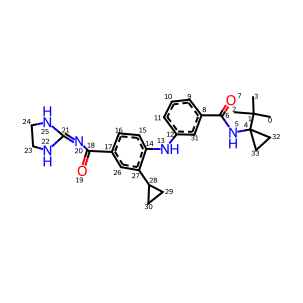 CC(C)(C)C1(NC(=O)c2cccc(Nc3ccc(C(=O)N=C4NCCN4)cc3C3CC3)c2)CC1